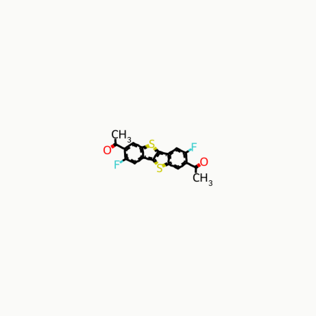 CC(=O)c1cc2sc3c4cc(F)c(C(C)=O)cc4sc3c2cc1F